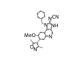 COc1cc2c(cc1-c1c(C)noc1C)ncc1[nH]c(=NC#N)n(Cc3ccccc3)c12